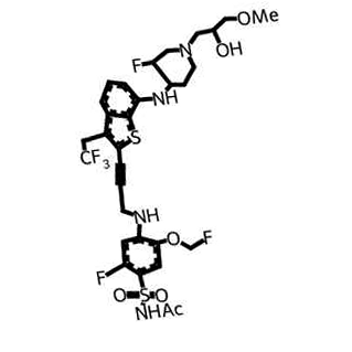 COCC(O)CN1CCC(Nc2cccc3c(CC(F)(F)F)c(C#CCNc4cc(F)c(S(=O)(=O)NC(C)=O)cc4OCF)sc23)C(F)C1